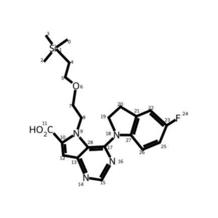 C[Si](C)(C)CCOCCn1c(C(=O)O)cc2ncnc(N3CCc4cc(F)ccc43)c21